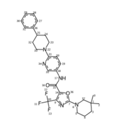 CC1(C)CCCN(c2nc(C(F)(F)F)c(C(=O)Nc3ccc(N4CCC(c5ccccc5)CC4)nc3)o2)C1